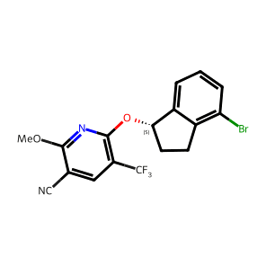 COc1nc(O[C@H]2CCc3c(Br)cccc32)c(C(F)(F)F)cc1C#N